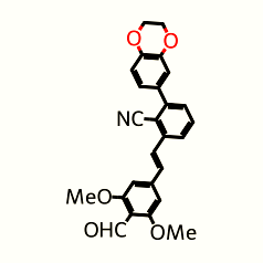 COc1cc(/C=C/c2cccc(-c3ccc4c(c3)OCCO4)c2C#N)cc(OC)c1C=O